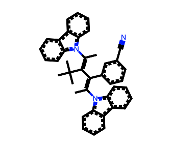 C/C(=C(\C(=C(/C)n1c2ccccc2c2ccccc21)C(C)(C)C)c1cccc(C#N)c1)n1c2ccccc2c2ccccc21